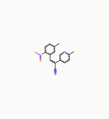 Cc1ccc([N+](=O)[O-])c(/C=C(/C#N)c2ccc(C)nc2)c1